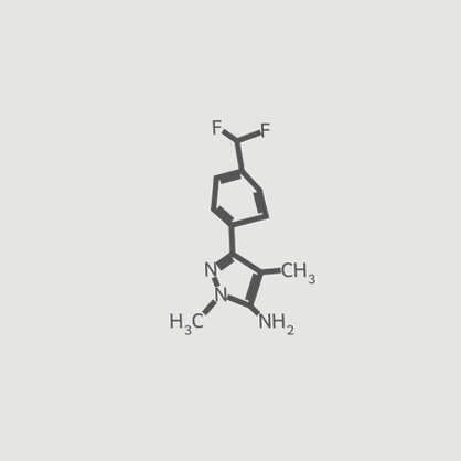 Cc1c(-c2ccc(C(F)F)cc2)nn(C)c1N